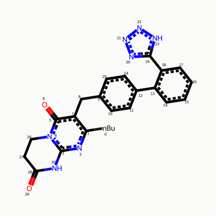 CCCCc1nc2n(c(=O)c1Cc1ccc(-c3ccccc3-c3nnn[nH]3)cc1)CCC(=O)N2